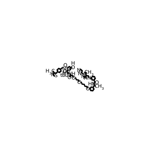 Cc1ncsc1-c1ccc(CNC(=O)[C@@H]2C[C@@H](O)CN2C(=O)[C@@H](NC(=O)COCCCOCCCCCOc2cccc([C@@H](C)NC(=O)c3cccc(NCc4nnc(-c5ccncn5)n4C)c3)c2)C(C)(C)C)cc1